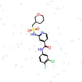 O=C(Nc1ccc(F)c(Cl)c1)c1ccnc(NS(=O)(=O)CC2CCCOC2)c1